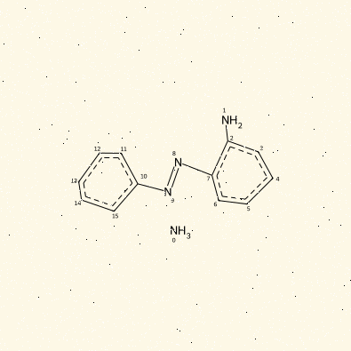 N.Nc1ccccc1N=Nc1ccccc1